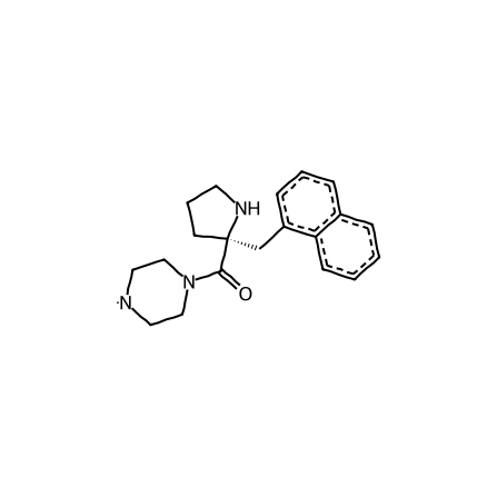 O=C(N1CC[N]CC1)[C@@]1(Cc2cccc3ccccc23)CCCN1